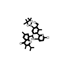 Cc1cc(C(C)Nc2ccc(Cl)nc2-c2ccc(B3OC(C)(C)C(C)(C)O3)c(C=O)c2C)c2oc(C(C)C)c(C)c(=O)c2c1